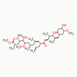 C=CCC(C=C(C)CC(C)CC(OC)C(O)C(CC(C)C(=O)OC)OC)C(=O)C=CC(C)C(O)C(C)=CC1CCC(O)C(OC)C1